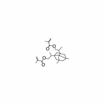 C=C(C)C(=O)OCC(C)C12CC3(C)CC(C)(C1)CC(C(C)COC(=O)C(=C)C)(C3)C2